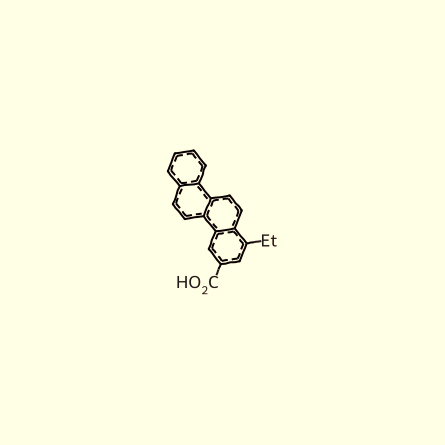 CCc1cc(C(=O)O)cc2c1ccc1c3ccccc3ccc21